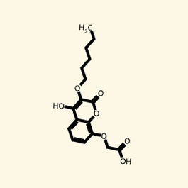 CCCCCCOc1c(O)c2cccc(OCC(=O)O)c2oc1=O